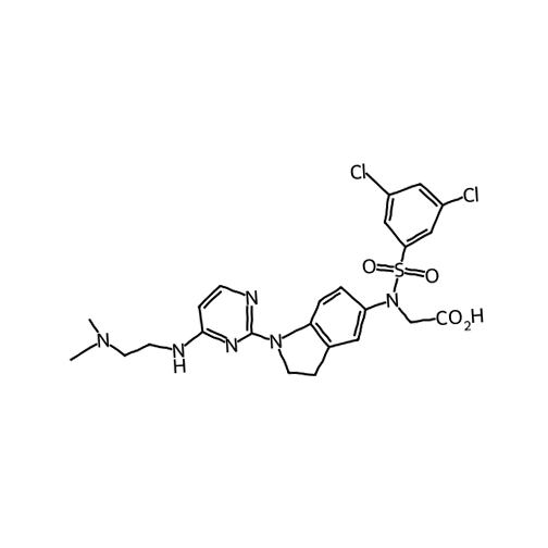 CN(C)CCNc1ccnc(N2CCc3cc(N(CC(=O)O)S(=O)(=O)c4cc(Cl)cc(Cl)c4)ccc32)n1